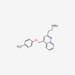 COCCc1cc(COc2ccc(C)cc2)c2ccccc2n1